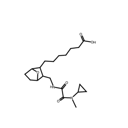 CN(C(=O)C(=O)NCC1C2CCC(O2)C1CCCCCCC(=O)O)C1CC1